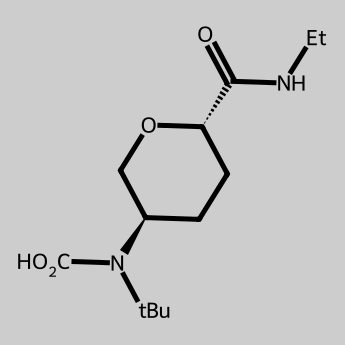 CCNC(=O)[C@@H]1CC[C@@H](N(C(=O)O)C(C)(C)C)CO1